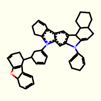 C1=CCC2OC3=C(C2=C1)C(C1C=CC=C(n2c4c(c5cc6c(cc52)N(C2=CCCC=C2)C2=CCC5CCCCC5C26)C=CCC4)C1)CC=C3